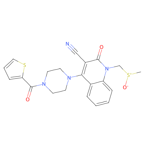 C[S+]([O-])Cn1c(=O)c(C#N)c(N2CCN(C(=O)c3cccs3)CC2)c2ccccc21